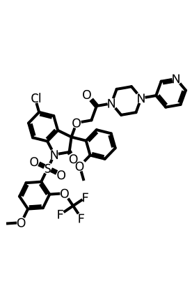 COc1ccc(S(=O)(=O)N2C(=O)C(OCC(=O)N3CCN(c4cccnc4)CC3)(c3ccccc3OC)c3cc(Cl)ccc32)c(OC(F)(F)F)c1